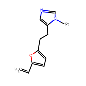 C=Cc1ccc(CCc2cncn2C(C)C)o1